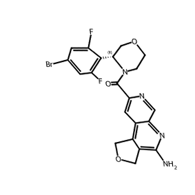 Nc1nc2cnc(C(=O)N3CCOC[C@H]3c3c(F)cc(Br)cc3F)cc2c2c1COC2